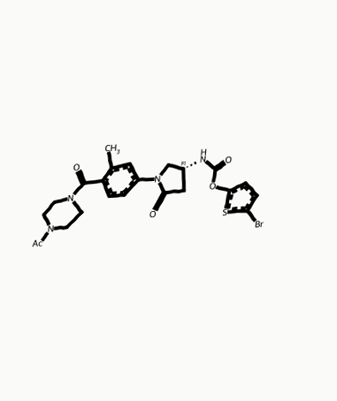 CC(=O)N1CCN(C(=O)c2ccc(N3C[C@H](NC(=O)Oc4ccc(Br)s4)CC3=O)cc2C)CC1